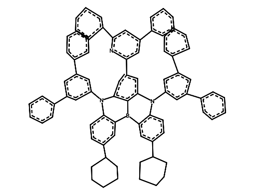 c1ccc(-c2cc(-c3ccccc3)cc(N3c4ccc(C5CCCCC5)cc4B4c5cc(C6CCCCC6)ccc5N(c5cc(-c6ccccc6)cc(-c6ccccc6)c5)c5cc(-c6cc(-c7ccccc7)cc(-c7ccccc7)n6)cc3c54)c2)cc1